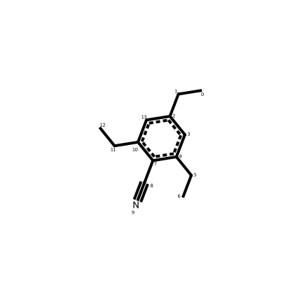 CCc1cc(CC)c(C#N)c(CC)c1